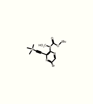 CC(C)(C)OC(=O)N(C(=O)O)c1ncc(Br)nc1C#C[Si](C)(C)C